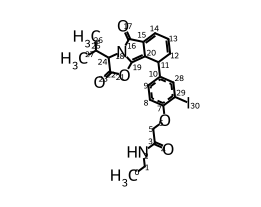 CCNC(=O)COc1ccc(C2C=CC=C3C(=O)N4C(=C32)OC(=O)C4C(C)C)cc1I